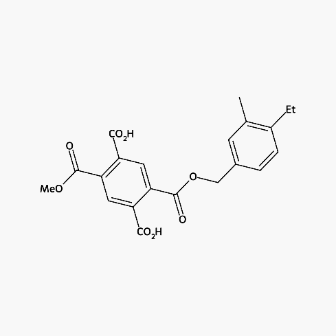 CCc1ccc(COC(=O)c2cc(C(=O)O)c(C(=O)OC)cc2C(=O)O)cc1C